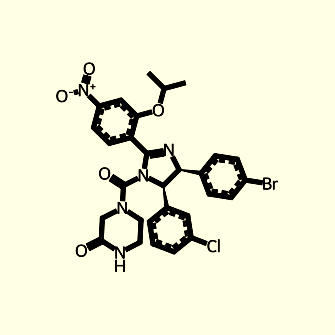 CC(C)Oc1cc([N+](=O)[O-])ccc1C1=N[C@@H](c2ccc(Br)cc2)[C@@H](c2cccc(Cl)c2)N1C(=O)N1CCNC(=O)C1